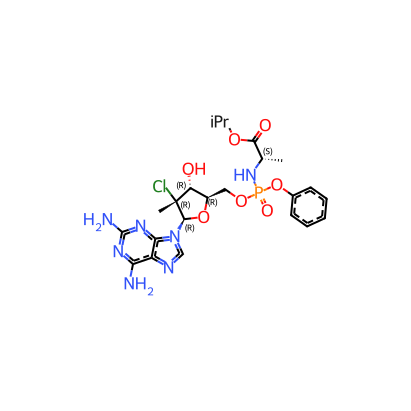 CC(C)OC(=O)[C@H](C)NP(=O)(OC[C@H]1O[C@@H](n2cnc3c(N)nc(N)nc32)[C@](C)(Cl)[C@@H]1O)Oc1ccccc1